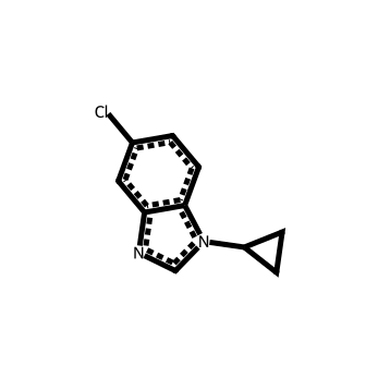 Clc1ccc2c(c1)ncn2C1CC1